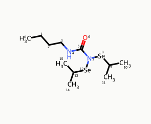 CCCCNC(=O)N([Se]C(C)C)[Se]C(C)C